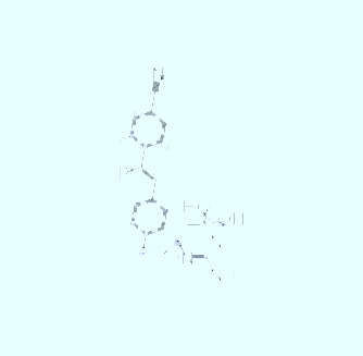 CN1C(N)=N[C@](C)(c2cc(/C=C(\F)c3ccc(C#N)cc3)ccc2F)CS1(O)O